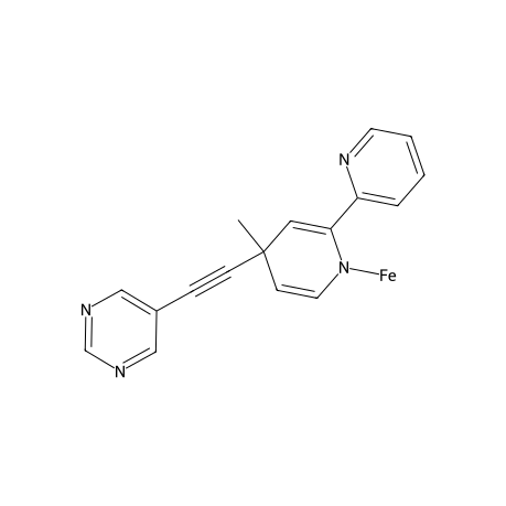 CC1(C#Cc2cncnc2)C=C[N]([Fe])C(c2ccccn2)=C1